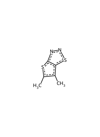 Cc1sc2nnsc2c1C